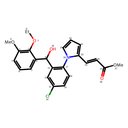 CCOc1c(OC)cccc1C(O)c1cc(Cl)ccc1-n1cccc1C=CC(=O)OC